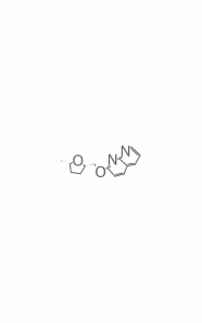 C[C@H]1CC[C@@H](COc2ccc3cccnc3n2)O1